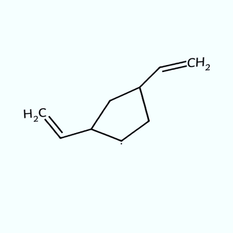 C=CC1[CH]CC(C=C)C1